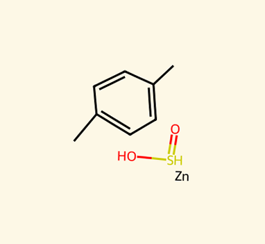 Cc1ccc(C)cc1.O=[SH]O.[Zn]